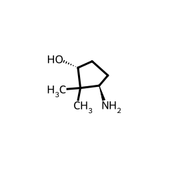 CC1(C)[C@H](N)CC[C@H]1O